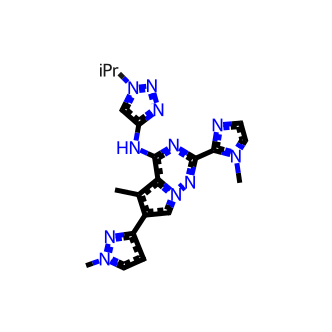 Cc1c(-c2ccn(C)n2)cn2nc(-c3nccn3C)nc(Nc3cn(C(C)C)nn3)c12